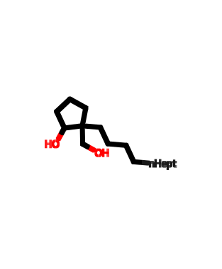 CCCCCCCCCCCC1(CO)CCCC1O